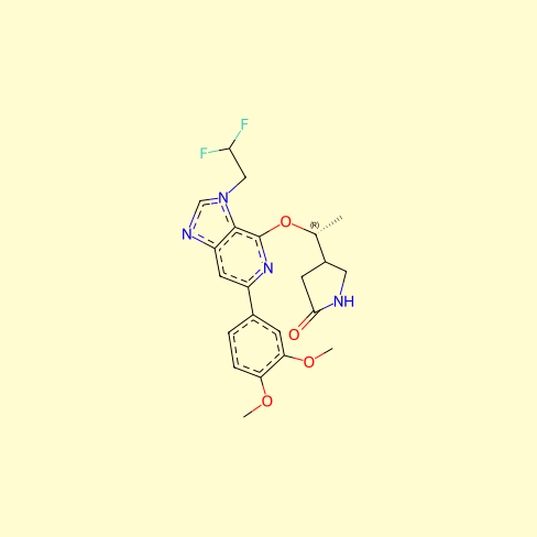 COc1ccc(-c2cc3ncn(CC(F)F)c3c(O[C@H](C)C3CNC(=O)C3)n2)cc1OC